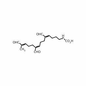 CC(C=O)=CCC/C(C=O)=C\CC/C(C=O)=C\CCCPC(=O)O